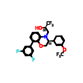 O[C@@H](CN1c2cccc(-c3cc(F)cc(F)c3)c2OC[C@@H]1C1C=C(OC(F)(F)F)C=CC1)C(F)(F)F